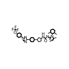 Cc1cccc(C)c1-n1c(C)cs/c1=N\C(=O)NC1CCC(c2ccc(-c3ncn(-c4ccc(OC(F)(F)F)cc4)n3)cc2)C1